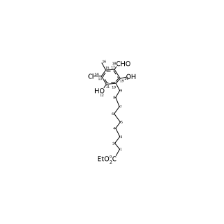 CCOC(=O)CCCCCCCCCc1c(O)c(Cl)c(C)c(C=O)c1O